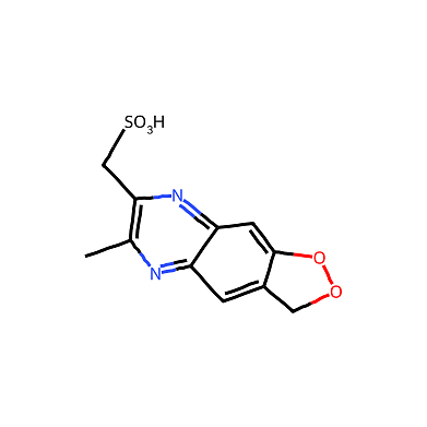 Cc1nc2cc3c(cc2nc1CS(=O)(=O)O)OOC3